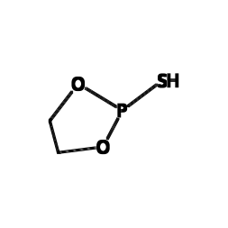 SP1OCCO1